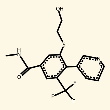 CNC(=O)c1cc(SCCO)c(-c2cccnc2)c(C(F)(F)F)c1